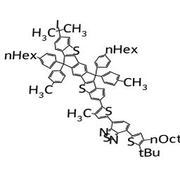 CCCCCCCCc1cc(-c2ccc(-c3cc(C)c(-c4ccc5c6c(sc5c4)-c4cc5c(cc4C6(c4ccc(C)cc4)c4ccc(CCCCCC)cc4)-c4sc6cc(C(C)(C)I)ccc6c4C5(c4ccc(C)cc4)c4ccc(CCCCCC)cc4)s3)c3nsnc23)sc1C(C)(C)C